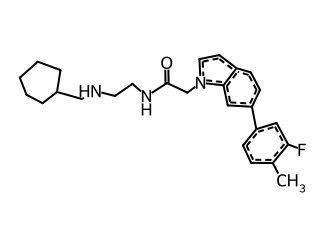 Cc1ccc(-c2ccc3ccn(CC(=O)NCCNCC4CCCCC4)c3c2)cc1F